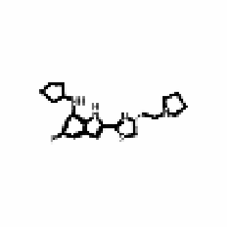 Fc1cc(NC2CCCC2)c2[nH]c(C3=N[C@H](CCN4CCCC4)CS3)cc2c1